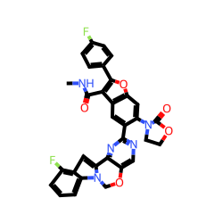 CNC(=O)c1c(-c2ccc(F)cc2)oc2cc(N3CCOC3=O)c(-c3ncc4c(n3)-c3cc5c(F)cccc5n3CO4)cc12